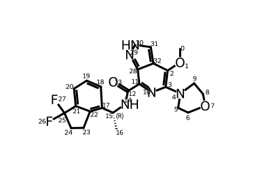 COc1c(N2CCOCC2)nc(C(=O)N[C@H](C)c2cccc3c2CCC3(F)F)c2n[nH]cc12